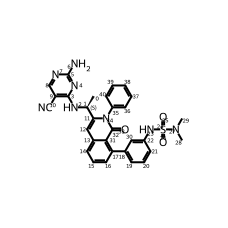 C[C@H](Nc1nc(N)ncc1C#N)c1cc2cccc(-c3cccc(NS(=O)(=O)N(C)C)c3)c2c(=O)n1-c1ccccc1